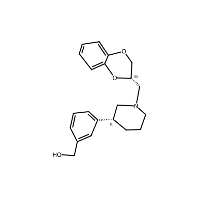 OCc1cccc([C@H]2CCCN(C[C@H]3COc4ccccc4O3)C2)c1